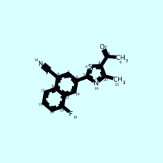 CC(=O)c1sc(-c2cc(C#N)c3cccc(F)c3c2)nc1C